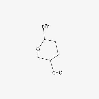 CCCC1CCC(C=O)CO1